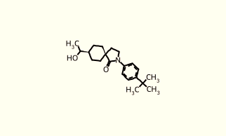 CC(O)[C@H]1CC[C@]2(CCN(c3ccc(C(C)(C)C)cc3)C2=O)CC1